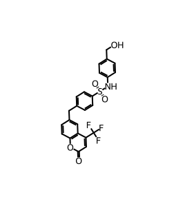 O=c1cc(C(F)(F)F)c2cc(Cc3ccc(S(=O)(=O)Nc4ccc(CO)cc4)cc3)ccc2o1